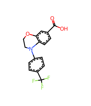 O=C(O)c1ccc2c(c1)OCCN2c1ccc(C(F)(F)F)cc1